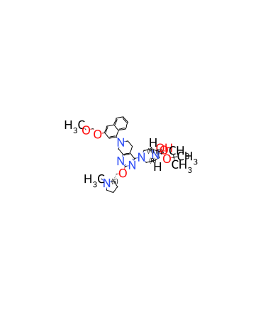 COCOc1cc(N2CCc3c(nc(OC[C@@H]4CCCN4C)nc3N3C[C@H]4C[C@@H](O)[C@@H](C3)N4C(=O)OC(C)(C)C)C2)c2ccccc2c1